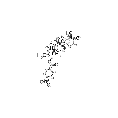 CC(COC(=O)c1ccc([N+](=O)[O-])cc1)[C@H]1CC[C@H]2[C@@H]3CCC4N(C)C(=O)CC[C@]4(C)[C@H]3CC[C@]12C